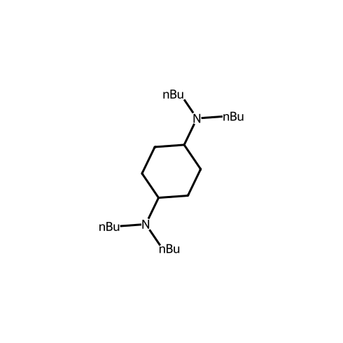 CCCCN(CCCC)C1CCC(N(CCCC)CCCC)CC1